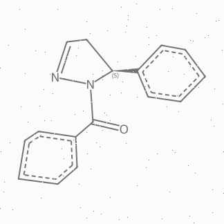 O=C(c1ccccc1)N1N=CC[C@H]1c1ccccc1